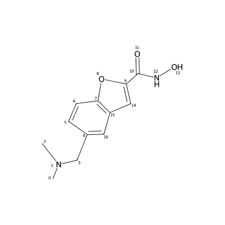 CN(C)Cc1ccc2oc(C(=O)NO)cc2c1